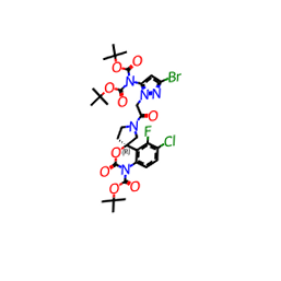 CC(C)(C)OC(=O)N1C(=O)O[C@]2(CCN(C(=O)Cn3nc(Br)cc3N(C(=O)OC(C)(C)C)C(=O)OC(C)(C)C)C2)c2c1ccc(Cl)c2F